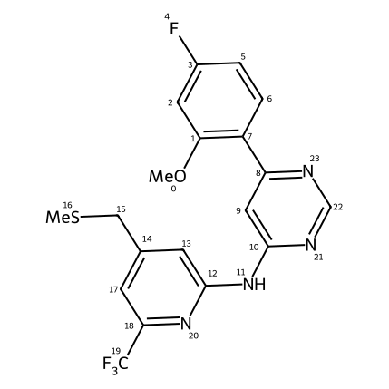 COc1cc(F)ccc1-c1cc(Nc2cc(CSC)cc(C(F)(F)F)n2)ncn1